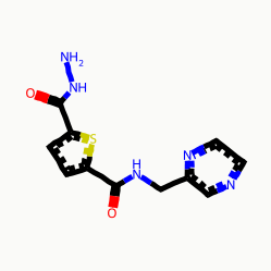 NNC(=O)c1ccc(C(=O)NCc2cnccn2)s1